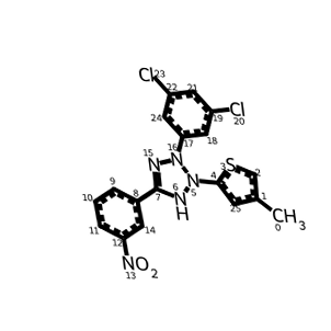 Cc1csc(N2NC(c3cccc([N+](=O)[O-])c3)=NN2c2cc(Cl)cc(Cl)c2)c1